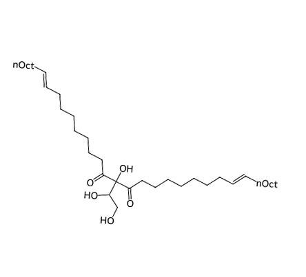 CCCCCCCCC=CCCCCCCCC(=O)C(O)(C(=O)CCCCCCCC=CCCCCCCCC)C(O)CO